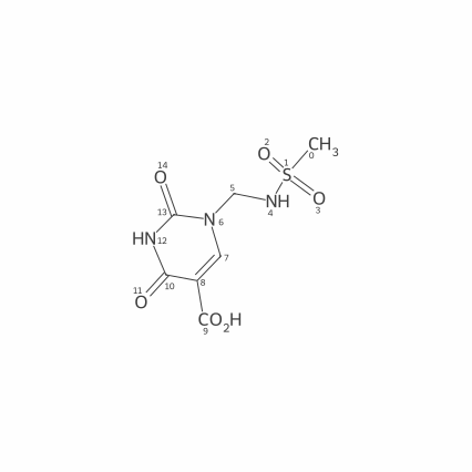 CS(=O)(=O)NCn1cc(C(=O)O)c(=O)[nH]c1=O